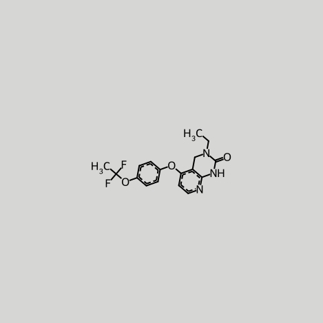 CCN1Cc2c(Oc3ccc(OC(C)(F)F)cc3)ccnc2NC1=O